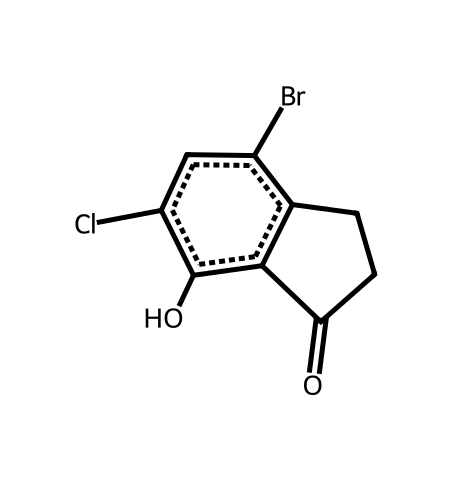 O=C1CCc2c(Br)cc(Cl)c(O)c21